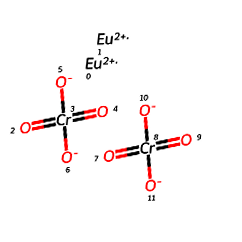 [Eu+2].[Eu+2].[O]=[Cr](=[O])([O-])[O-].[O]=[Cr](=[O])([O-])[O-]